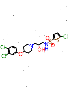 O=S(=O)(NC[C@@H](O)CN1CCC(Oc2ccc(Cl)c(Cl)c2)CC1)c1ccc(Cl)s1